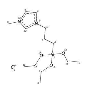 CCO[Si](CCCn1cc[n+](C)c1)(OCC)OCC.[Cl-]